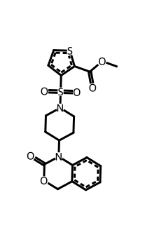 COC(=O)c1sccc1S(=O)(=O)N1CCC(N2C(=O)OCc3ccccc32)CC1